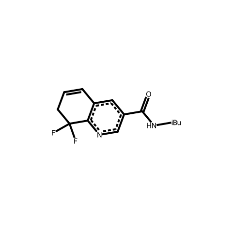 CCC(C)NC(=O)c1cnc2c(c1)C=CCC2(F)F